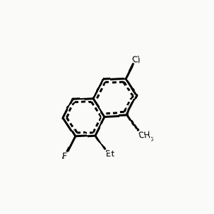 CCc1c(F)ccc2cc(Cl)cc(C)c12